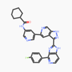 O=C(Nc1cncc(-c2cc3c(-c4nc5c(-c6ccc(F)cc6)nccc5[nH]4)n[nH]c3cn2)c1)C1CCCCC1